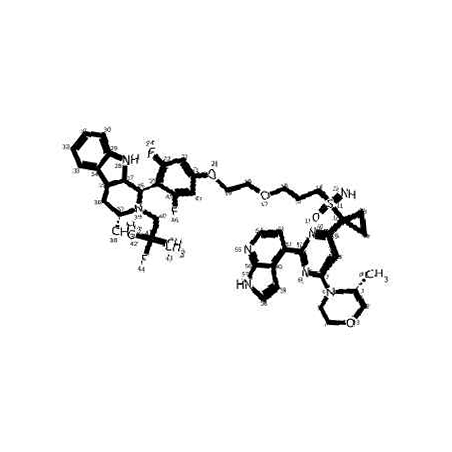 C[C@@H]1COCCN1c1cc(C2(S(=N)(=O)CCCOCCOc3cc(F)c([C@@H]4C5Nc6ccccc6C5C[C@@H](C)N4CC(C)(C)F)c(F)c3)CC2)nc(-c2ccnc3[nH]ccc23)n1